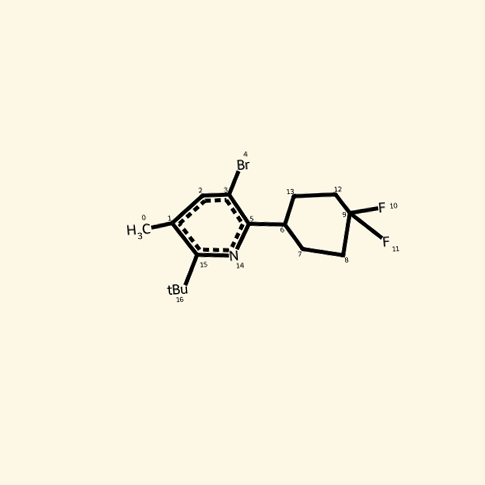 Cc1cc(Br)c(C2CCC(F)(F)CC2)nc1C(C)(C)C